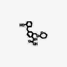 O=C(O)Nc1ccc(Cc2ccccc2O)cc1COC1CCCCO1